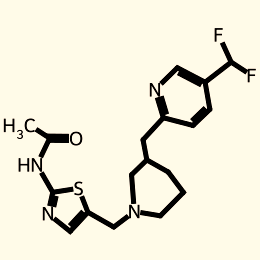 CC(=O)Nc1ncc(CN2CCCC(Cc3ccc(C(F)F)cn3)C2)s1